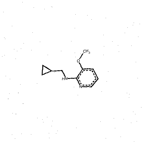 COc1cccnc1NCC1CC1